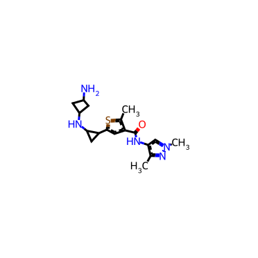 Cc1nn(C)cc1NC(=O)c1cc(C2CC2NC2CC(N)C2)sc1C